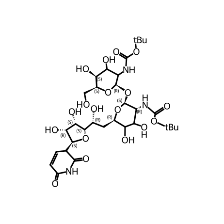 CC(C)(C)OC(=O)NC1C(O)[C@H](O)[C@H](CO)O[C@@H]1O[C@@H]1O[C@H](C[C@@H](O)[C@@H]2O[C@@H](C3C=CC(=O)NC3=O)[C@H](O)[C@@H]2O)C(O)C(O)[C@H]1NC(=O)OC(C)(C)C